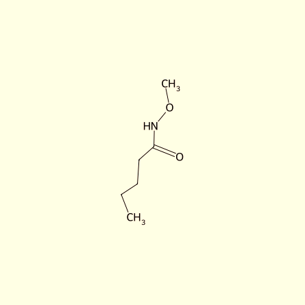 CCCCC(=O)NOC